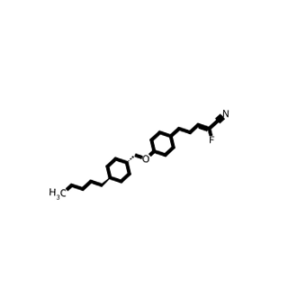 CCCCC[C@H]1CC[C@H](COC2CCC(CCC=C(F)C#N)CC2)CC1